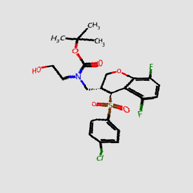 CC(C)(C)OC(=O)N(CCO)C[C@@H]1COc2c(F)ccc(F)c2[C@H]1S(=O)(=O)c1ccc(Cl)cc1